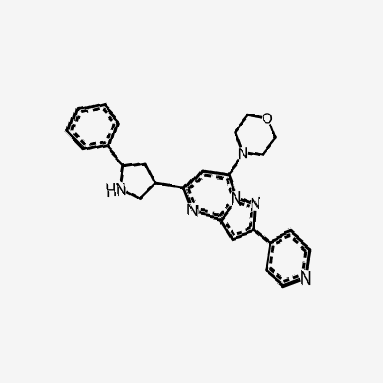 c1ccc(C2CC(c3cc(N4CCOCC4)n4nc(-c5ccncc5)cc4n3)CN2)cc1